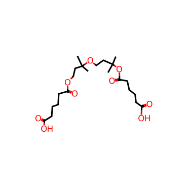 CC(C)(CCOC(=O)CCCCC(=O)O)OCCC(C)(C)OC(=O)CCCCC(=O)O